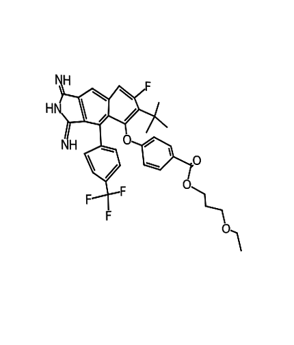 CCOCCCOC(=O)c1ccc(Oc2c(C(C)(C)C)c(F)cc3cc4c(c(-c5ccc(C(F)(F)F)cc5)c23)C(=N)NC4=N)cc1